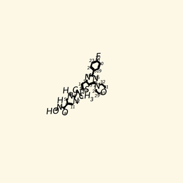 C[N+](C)(c1ncc(C(=O)NO)cn1)c1cc2nc(-c3ccc(F)cc3)nc(N3CCOCC3)c2s1